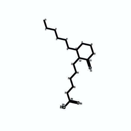 CCCCCCC1CCCC(=O)C1CCCCCC(=O)O